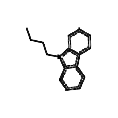 CCCCn1c2c[c]ccc2c2cc[c]cc21